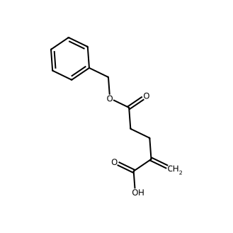 C=C(CCC(=O)OCc1ccccc1)C(=O)O